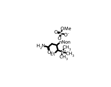 CCCCCCCCCC(CC(N)=O)C(CC)[N+](C)(C)C.COS(=O)(=O)[O-]